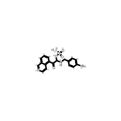 CC(C)(C)c1ccc(CNC(OS(C)(=O)=O)C(=O)c2cccc3cnccc23)cc1